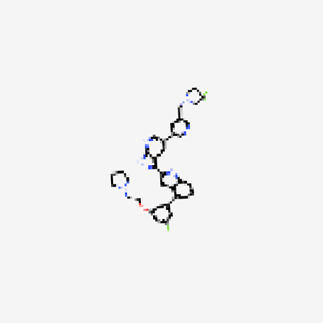 Fc1cc(OCCN2CCCC2)cc(-c2cccc3[nH]c(-c4n[nH]c5ncc(-c6cncc(CN7CCC(F)(F)C7)c6)cc45)cc23)c1